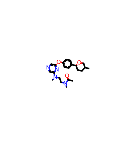 CC(=O)N(C)CCN(C)c1cncc(Oc2ccc(C3CCC(C)CO3)cc2)n1